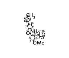 COc1ccc(C(=O)Nc2ccc(-c3csc(C)n3)cc2)c(CN2CCOCC2)c1